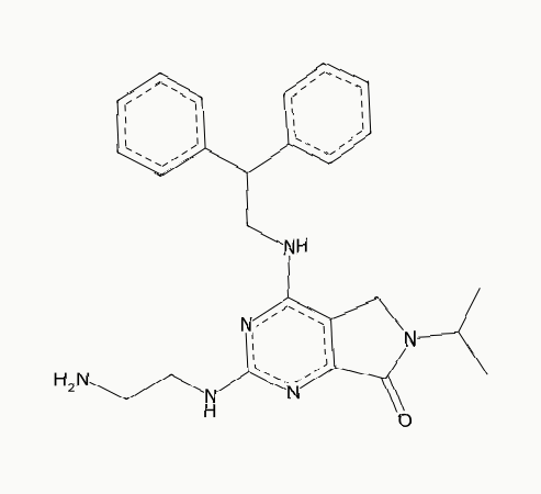 CC(C)N1Cc2c(NCC(c3ccccc3)c3ccccc3)nc(NCCN)nc2C1=O